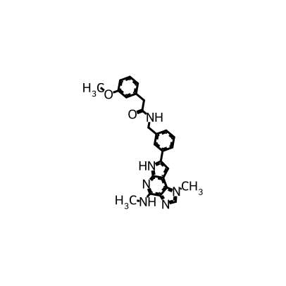 CNc1nc2[nH]c(-c3cccc(CNC(=O)Cc4cccc(OC)c4)c3)cc2c2c1ncn2C